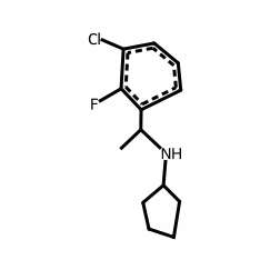 CC(NC1CCCC1)c1cccc(Cl)c1F